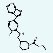 CCCC(=O)N1CCCC(CNc2nc(-c3c[nH]c4ncccc34)ncc2F)C1